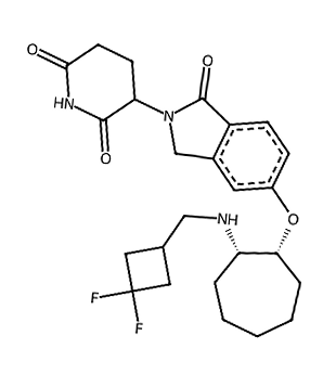 O=C1CCC(N2Cc3cc(O[C@@H]4CCCCC[C@@H]4NCC4CC(F)(F)C4)ccc3C2=O)C(=O)N1